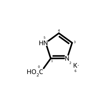 O=C(O)c1ncc[nH]1.[K]